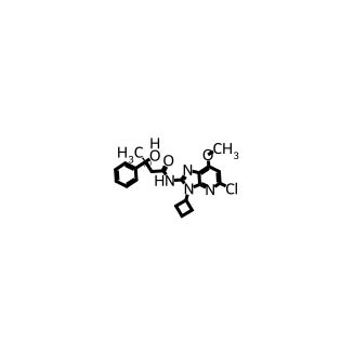 COc1cc(Cl)nc2c1nc(NC(=O)C[C@](C)(O)c1ccccc1)n2C1CCC1